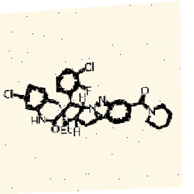 CCN1[C@H]2Cc3c4ccc(C(=O)N5CCCCC5)cc4nn3[C@H]2[C@H](c2cccc(Cl)c2F)[C@@]12Cc1ccc(Cl)cc1NC2=O